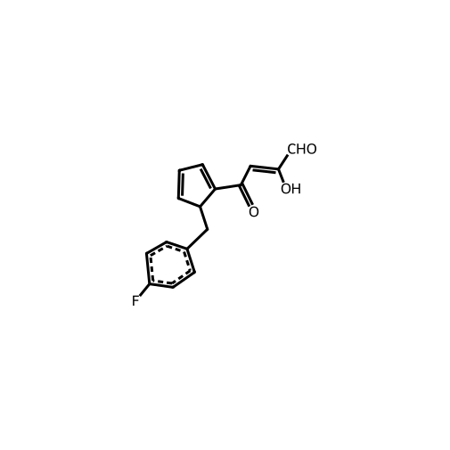 O=C/C(O)=C/C(=O)C1=CC=CC1Cc1ccc(F)cc1